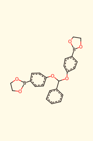 c1ccc(C(Oc2ccc(B3OCCO3)cc2)Oc2ccc(B3OCCO3)cc2)cc1